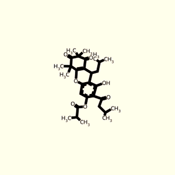 CC(C)CC(=O)c1c(OC(=O)C(C)C)cc2c(c1O)C(CC(C)C)C1=C(O2)C(C)(C)C(=O)C(C)(C)C1=O